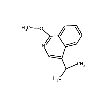 COc1ncc(C(C)C)c2ccccc12